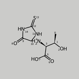 C[C@@H](O)[C@H](N)C(=O)O.O=C1CNC(=S)N1